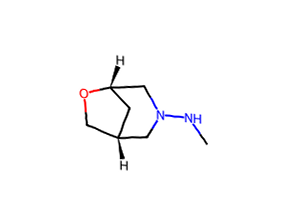 CNN1C[C@@H]2CO[C@@H](C2)C1